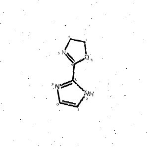 c1c[nH]c(C2=NCCO2)n1